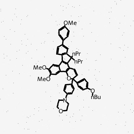 CCCCOc1ccc(C2(c3ccc(N4CCOCC4)cc3)C=Cc3c4c(c5cc(OC)c(OC)cc5c3O2)-c2ccc(-c3ccc(OC)cc3)cc2C4(CCC)CCC)cc1